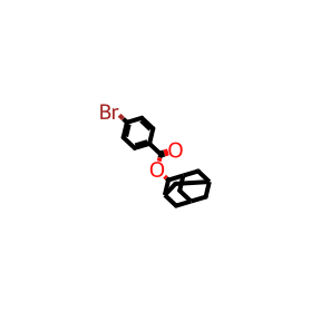 O=C(OC1C2CC3CC(C2)CC1C3)c1ccc(Br)cc1